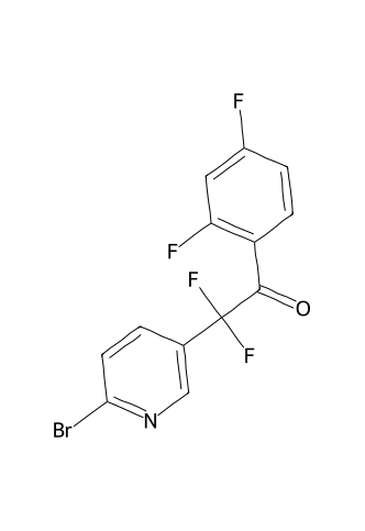 O=C(c1ccc(F)cc1F)C(F)(F)c1ccc(Br)nc1